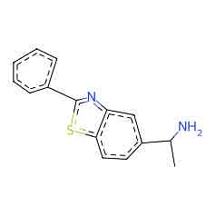 CC(N)c1ccc2sc(-c3ccccc3)nc2c1